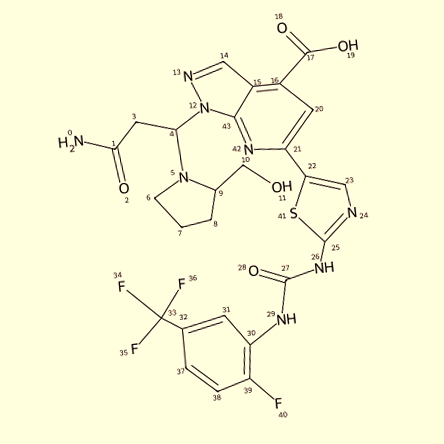 NC(=O)CC(N1CCCC1CO)n1ncc2c(C(=O)O)cc(-c3cnc(NC(=O)Nc4cc(C(F)(F)F)ccc4F)s3)nc21